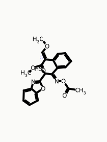 CO/C=C(/C(=O)OC)c1ccccc1C(=NOC(C)=O)C(S)c1nc2ccccc2o1